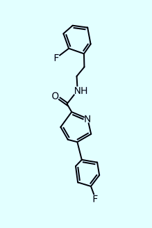 O=C(NCCc1ccccc1F)c1ccc(-c2ccc(F)cc2)cn1